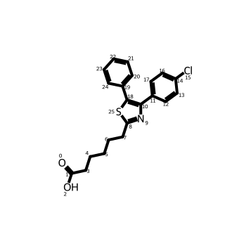 O=C(O)CCCCCc1nc(-c2ccc(Cl)cc2)c(-c2ccccc2)s1